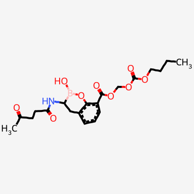 CCCCOC(=O)OCOC(=O)c1cccc2c1OB(O)C(NC(=O)CCC(C)=O)C2